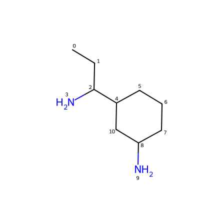 CCC(N)C1CCCC(N)C1